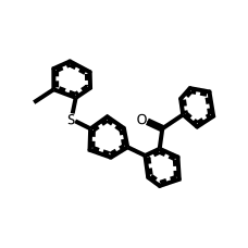 Cc1ccccc1Sc1ccc(-c2ccccc2C(=O)c2ccccc2)cc1